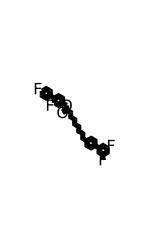 O=C(CCCCCCCCc1ccc(-c2cc(F)cc(F)c2)cc1)Oc1ccc(-c2ccc(F)cc2)c(F)c1